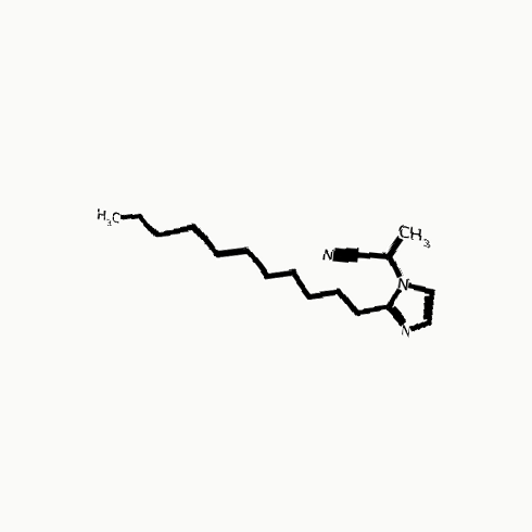 CCCCCCCCCCCc1nccn1C(C)C#N